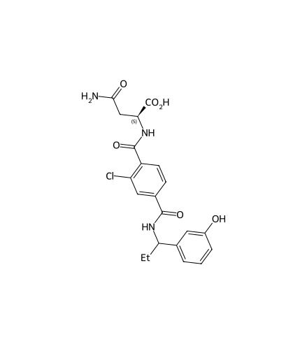 CCC(NC(=O)c1ccc(C(=O)N[C@@H](CC(N)=O)C(=O)O)c(Cl)c1)c1cccc(O)c1